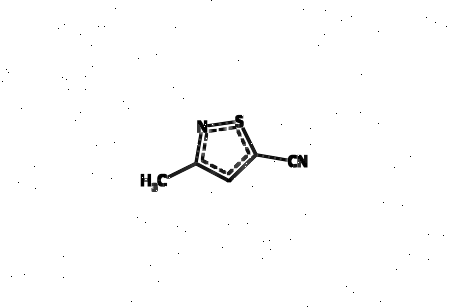 Cc1cc(C#N)sn1